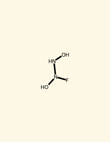 ONN(O)F